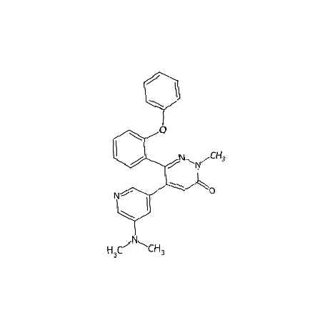 CN(C)c1cncc(-c2cc(=O)n(C)nc2-c2ccccc2Oc2ccccc2)c1